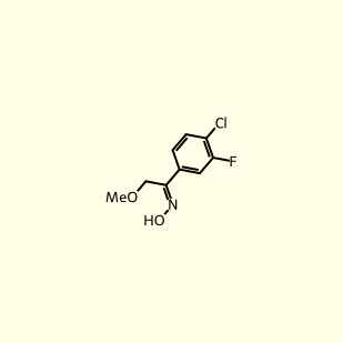 COC/C(=N\O)c1ccc(Cl)c(F)c1